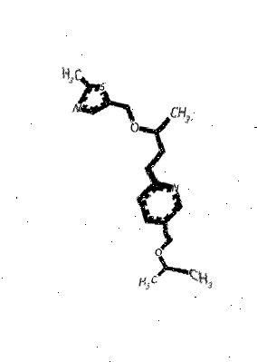 Cc1ncc(COC(C)CCc2ccc(COC(C)C)cn2)s1